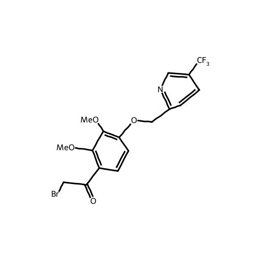 COc1c(OCc2ccc(C(F)(F)F)cn2)ccc(C(=O)CBr)c1OC